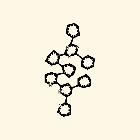 c1ccc(-c2cc(-c3ccccn3)nc(-c3ncccc3-c3ccccc3-c3ccccc3-c3nc(-c4ccccc4)nc(-c4ccccc4)n3)c2)cc1